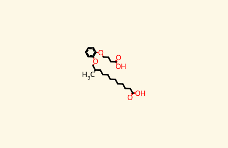 CC(CCCCCCCCCC(=O)O)COc1ccccc1OCCCC(=O)O